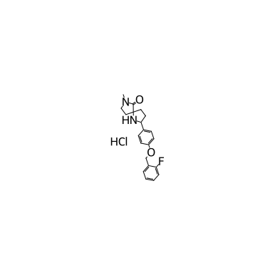 CN1CCC2(CCC(c3ccc(OCc4ccccc4F)cc3)N2)C1=O.Cl